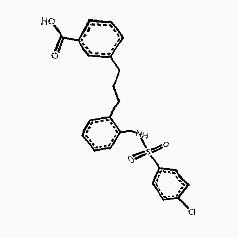 O=C(O)c1cccc(CCCc2ccccc2NS(=O)(=O)c2ccc(Cl)cc2)c1